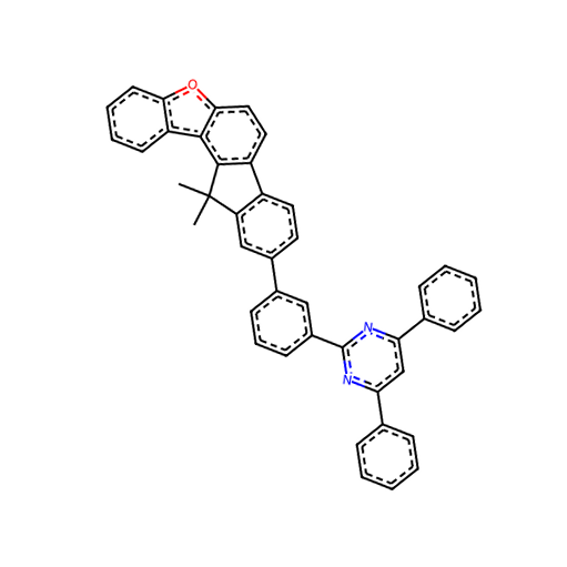 CC1(C)c2cc(-c3cccc(-c4nc(-c5ccccc5)cc(-c5ccccc5)n4)c3)ccc2-c2ccc3oc4ccccc4c3c21